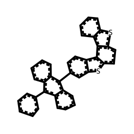 c1ccc(-c2c3ccccc3c(-c3ccc4c(c3)sc3ccc5sc6ccccc6c5c34)c3ccccc23)cc1